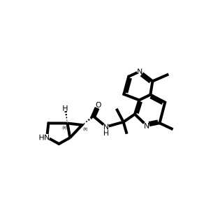 Cc1cc2c(C)nccc2c(C(C)(C)NC(=O)[C@@H]2C3CNC[C@H]32)n1